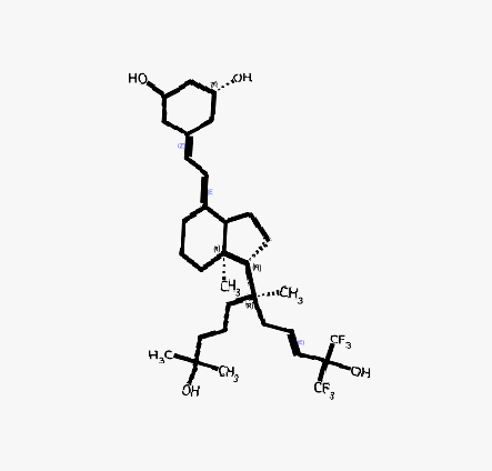 CC(C)(O)CCC[C@](C)(C/C=C/C(O)(C(F)(F)F)C(F)(F)F)[C@H]1CCC2/C(=C/C=C3/CC(O)C[C@H](O)C3)CCC[C@@]21C